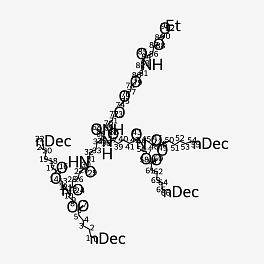 CCCCCCCCCCCCCCCC(=O)OCCN(CCOC(=O)CCCCCCCCCCCCCCC)C(=O)CCCC(=O)NCCCC[C@H](NC(=O)CCCC(=O)N(CCOC(=O)CCCCCCCCCCCCCCC)CCOC(=O)CCCCCCCCCCCCCCC)C(=O)NCCCOCCOCCOCCCNC(=O)CCOCCOCC